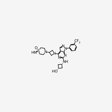 N=S1(=O)CCN(C2CN(c3nc(N[C@H]4C[C@@H](O)C4)nc4c3cnn4-c3cccc(C(F)(F)F)c3)C2)CC1